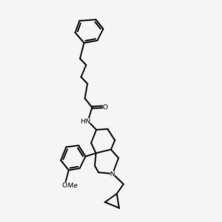 COc1cccc(C23CCN(CC4CC4)CC2CCC(NC(=O)CCCCCc2ccccc2)C3)c1